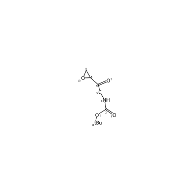 CC(C)(C)OC(=O)NCC(=O)C1CO1